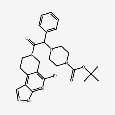 CC(C)(C)OC(=O)N1CCN(C(C(=O)N2CCc3c(c(Br)nc4[nH]ncc34)C2)c2ccccc2)CC1